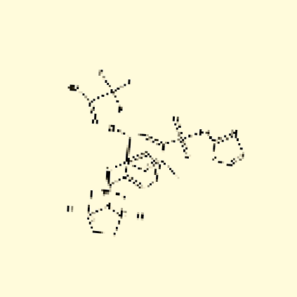 O=C(O)C(F)(F)F.O=S(=O)(Nc1nccs1)c1cc(Cl)c(O[C@H]2C[C@H]3CC[C@@H](C2)N3Cc2ccccc2)cc1F